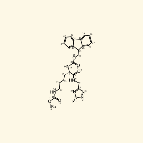 Cn1nnc(CNC(=O)[C@H](CCCCNC(=O)OC(C)(C)C)NC(=O)OCC2c3ccccc3-c3ccccc32)n1